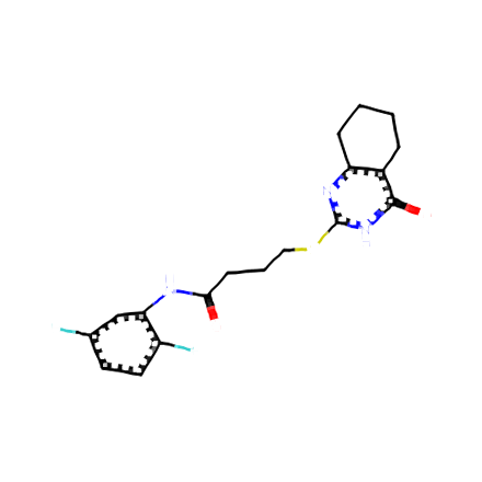 O=C(CCCSc1nc2c(c(=O)[nH]1)CCCC2)Nc1cc(F)ccc1F